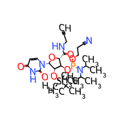 C#CCNC(=O)[C@H]1O[C@@H](n2ccc(=O)[nH]c2=O)[C@@H](O[Si](C)(C)C(C)(C)C)C1OP(OCCC#N)N(C(C)C)C(C)C